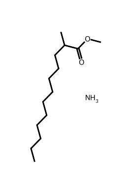 CCCCCCCCCCC(C)C(=O)OC.N